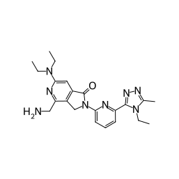 CCN(CC)c1cc2c(c(CN)n1)CN(c1cccc(-c3nnc(C)n3CC)n1)C2=O